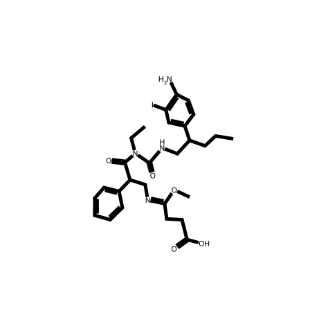 CCCC(CNC(=O)N(CC)C(=O)C(CN=C(CCC(=O)O)OC)c1ccccc1)c1ccc(N)c(I)c1